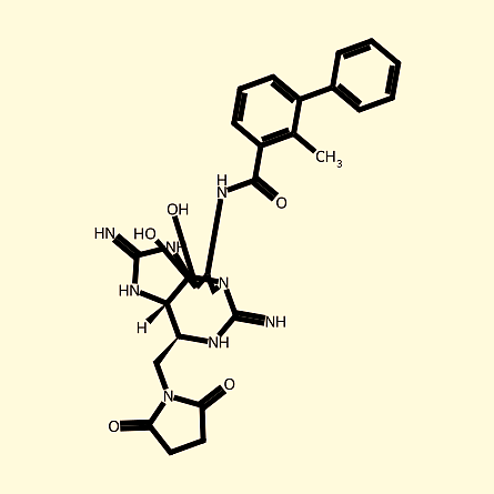 Cc1c(C(=O)NC2CN3C(=N)N[C@@H](CN4C(=O)CCC4=O)[C@@H]4NC(=N)NC43C2(O)O)cccc1-c1ccccc1